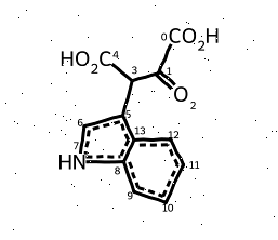 O=C(O)C(=O)C(C(=O)O)c1c[nH]c2ccccc12